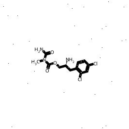 CN(C(N)=O)C(=O)OC[C@H](N)Cc1ccc(Cl)cc1Cl